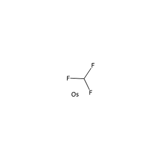 FC(F)F.[Os]